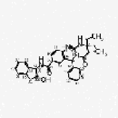 CCC1(CC)CC(=O)N(C(c2cccnc2)c2cccc(C(=O)N[C@@H]3c4ccccc4C[C@H]3O)c2)C(=N)N1